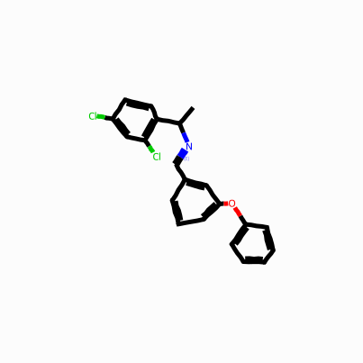 CC(/N=C/c1cccc(Oc2ccccc2)c1)c1ccc(Cl)cc1Cl